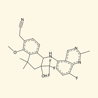 COc1c(CC#N)ccc2c1C(C)(C)CC(O)(C(F)(F)F)C2Nc1ccc(F)c2nc(C)ncc12